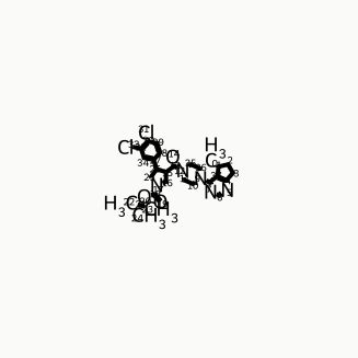 CC1CCc2ncnc(N3CCN(C(=O)C4CN(C(=O)OC(C)(C)C)CC4c4ccc(Cl)c(Cl)c4)CC3)c21